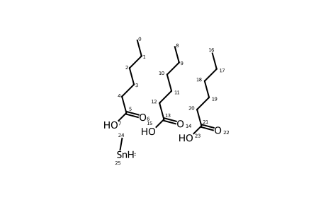 CCCCCC(=O)O.CCCCCC(=O)O.CCCCCC(=O)O.[CH3][SnH]